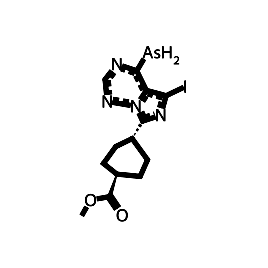 COC(=O)[C@H]1CC[C@H](c2nc(I)c3c([AsH2])ncnn32)CC1